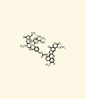 CCC1CC(=O)N(CC(=O)N(C)CC(=O)Nc2cc(COC(=O)N[C@H]3CCc4c(C)c(F)cc5nc6c(c3c45)Cn3c-6cc4c(c3=O)COC(=O)[C@@H]4CC)ccc2OC(OC(C(=O)O)[C@H](C)O)C(O)O)C1=O